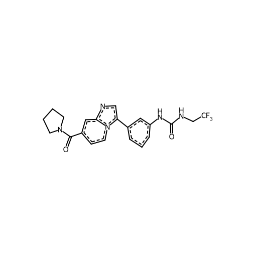 O=C(NCC(F)(F)F)Nc1cccc(-c2cnc3cc(C(=O)N4CCCC4)ccn23)c1